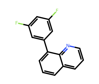 Fc1cc(F)cc(-c2cccc3cccnc23)c1